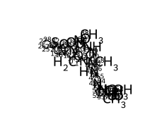 C=CC(=O)Nc1cc(Nc2cc(N3CCCC(N4CCc5c(sc6c5CCCC6)C4=O)C3CO)cnc2OC)ncc1N1CCN(C2CCN(c3cccc(C(C)(C)OP(=O)(O)O)n3)CC2)C[C@@H]1C